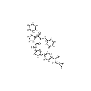 O=C(NC1CC1)c1ccc(-c2csc(NC(=O)[C@@H]3CC[C@H](c4ccccc4)N3C(=O)OCc3ccccc3)n2)cc1